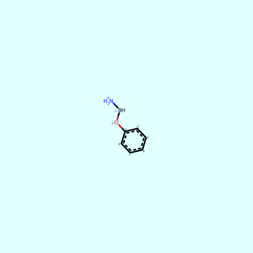 NBOc1ccccc1